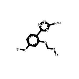 CCOCOc1cc(OCC)ccc1-c1nnc(NC)s1